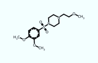 COCCN1CCN(S(=O)(=O)c2ccc(OC)c(OC)c2)CC1